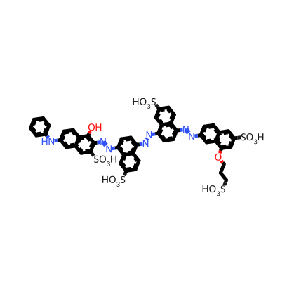 O=S(=O)(O)CCCOc1cc(S(=O)(=O)O)cc2ccc(N=Nc3ccc(N=Nc4ccc(N=Nc5c(S(=O)(=O)O)cc6cc(Nc7ccccc7)ccc6c5O)c5cc(S(=O)(=O)O)ccc45)c4cc(S(=O)(=O)O)ccc34)cc12